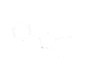 COC1C=C(c2ccccc2)C(=O)N1C